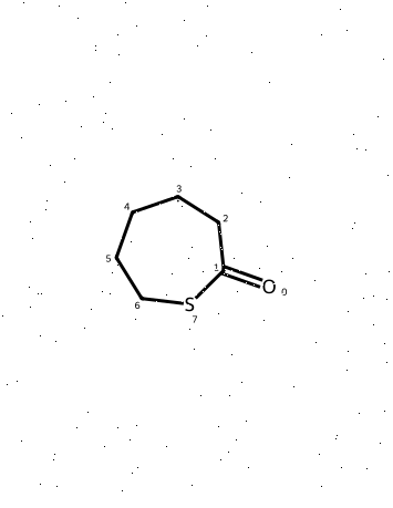 O=C1C[CH]CCCS1